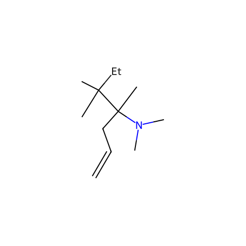 C=CCC(C)(N(C)C)C(C)(C)CC